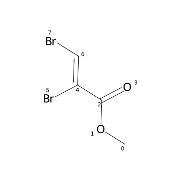 COC(=O)C(Br)=CBr